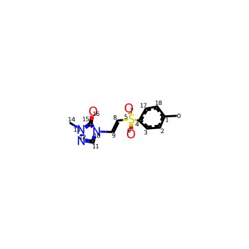 Cc1ccc(S(=O)(=O)C=Cn2cnn(C)c2=O)cc1